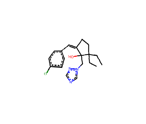 CCC1(CC)CCC(=Cc2ccc(Cl)cc2)C1(O)Cn1cncn1